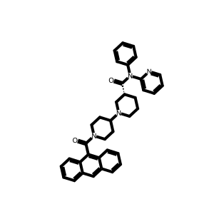 O=C(c1c2ccccc2cc2ccccc12)N1CCC(N2CCC[C@@H](C(=O)N(c3ccccc3)c3ccccn3)C2)CC1